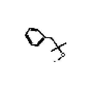 [CH2]COC(C)(C)Cc1ccccc1